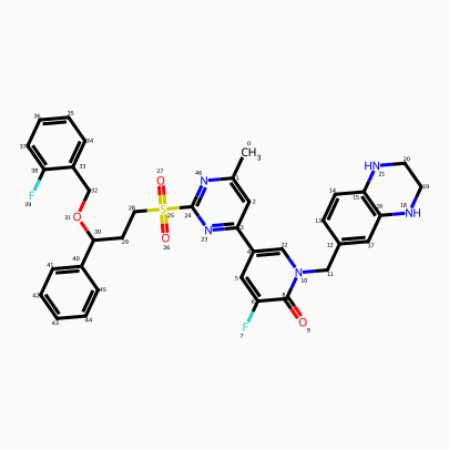 Cc1cc(-c2cc(F)c(=O)n(Cc3ccc4c(c3)NCCN4)c2)nc(S(=O)(=O)CCC(OCc2ccccc2F)c2ccccc2)n1